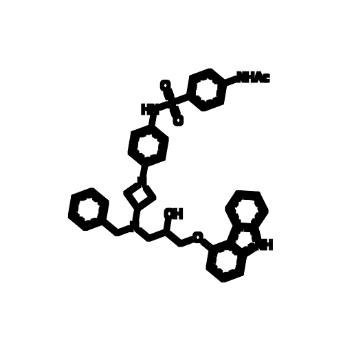 CC(=O)Nc1ccc(S(=O)(=O)Nc2ccc(N3CC(N(Cc4ccccc4)CC(O)COc4cccc5[nH]c6ccccc6c45)C3)cc2)cc1